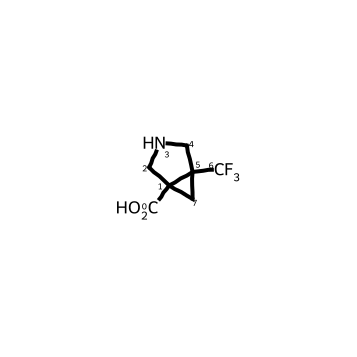 O=C(O)C12CNCC1(C(F)(F)F)C2